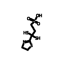 O=S(=O)(O)CCC(S)(S)C1=NCCS1